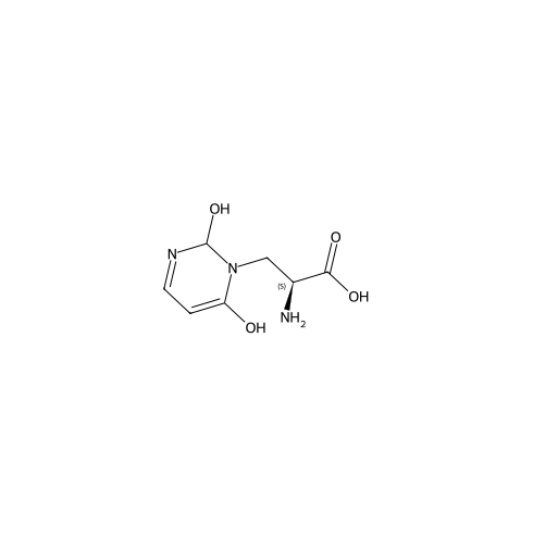 N[C@@H](CN1C(O)=CC=NC1O)C(=O)O